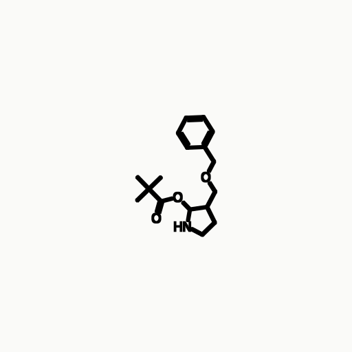 CC(C)(C)C(=O)OC1NCCC1COCc1ccccc1